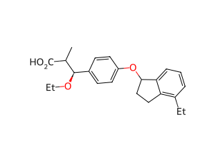 CCO[C@H](c1ccc(OC2CCc3c(CC)cccc32)cc1)C(C)C(=O)O